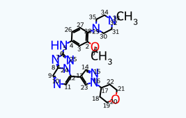 COc1cc(Nc2nc3cncc(-c4cnn(C5CCOCC5)c4)n3n2)ccc1N1CCN(C)CC1